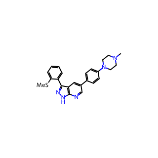 CSc1ccccc1-c1n[nH]c2ncc(-c3ccc(N4CCN(C)CC4)cc3)cc12